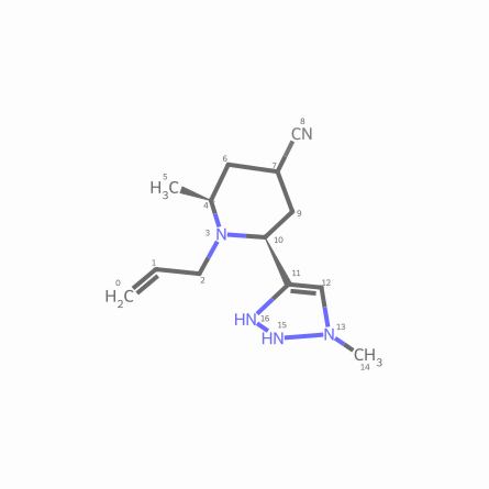 C=CCN1[C@@H](C)CC(C#N)C[C@H]1C1=CN(C)NN1